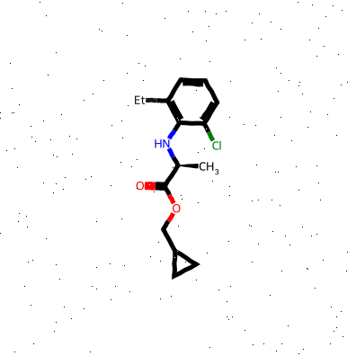 CCc1cccc(Cl)c1N[C@@H](C)C(=O)OCC1CC1